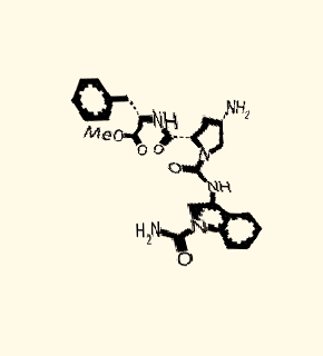 COC(=O)[C@H](Cc1ccccc1)NC(=O)[C@@H]1C[C@H](N)CN1C(=O)Nc1cn(C(N)=O)c2ccccc12